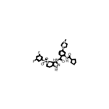 CN1CCN(c2ccc(C(=O)Nc3n[nH]c4c3CN(S(=O)(=O)c3cc(F)cc(F)c3)CC4)c(NC(=O)C3CCCC3)c2)CC1